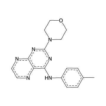 Cc1ccc(Nc2nc(N3CCOCC3)nc3nccnc23)cc1